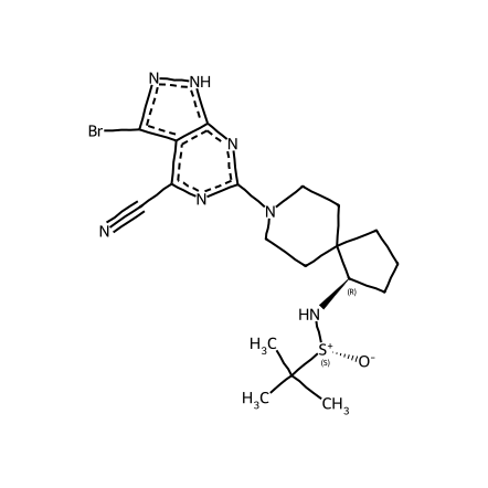 CC(C)(C)[S@@+]([O-])N[C@@H]1CCCC12CCN(c1nc(C#N)c3c(Br)n[nH]c3n1)CC2